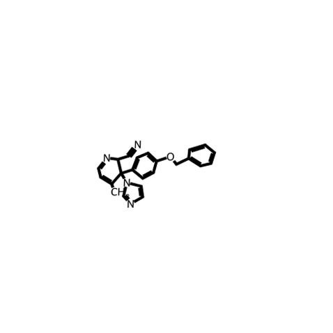 CC1=CC=NC(C#N)C1(c1ccc(OCc2ccccc2)cc1)n1ccnc1